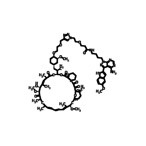 COc1ccc2[nH]c(-c3nn(CCCCNC(=O)CCOCCn4cc(COCCO[C@@H]5CC[C@@H](C[C@@H](C)[C@@H]6CC(=O)[C@H](C)/C=C(\C)[C@@H](O)[C@@H](OC)C(=O)[C@H](C)C[C@H](C)/C=C/C=C/C=C(\C)[C@@H](OC)C[C@@H]7CC[C@@H](C)[C@](O)(O7)C(=O)C(=O)N7CCCC[C@H]7C(=O)O6)C[C@H]5OC)nn4)c4ncnc(N)c34)cc2c1